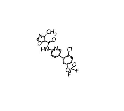 Cc1ncoc1C(=O)Nc1ccc(-c2cc3c(cc2Cl)OC(F)(F)O3)cn1